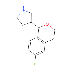 Fc1ccc2c(c1)CCOC2C1CCNC1